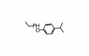 CCPOc1ccc(C(C)C)cc1